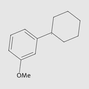 COc1cccc([C]2CCCCC2)c1